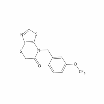 O=C1CSc2ncsc2N1Cc1cccc(OC(F)(F)F)c1